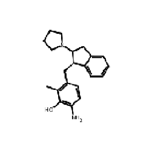 Cc1c(C[C@@H]2c3ccccc3CC2N2CCCC2)ccc(N)c1O